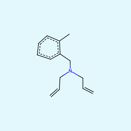 C=CCN(CC=C)Cc1ccccc1C